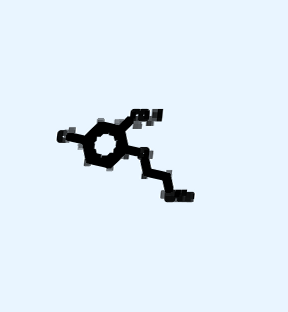 COCCOc1ccc(Cl)cc1C(=O)O